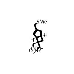 CSCC1=C[C@H]2[C@@H](C1)C[C@]2(CC(=O)O)C[N+](=O)[O-]